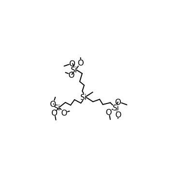 CO[Si](CCCC[Si](C)(CCCC[Si](OC)(OC)OC)CCCC[Si](OC)(OC)OC)(OC)OC